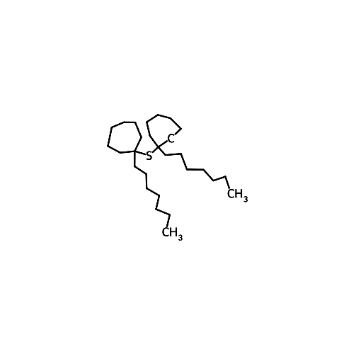 CCCCCCCC1(SC2(CCCCCCC)CCCCCC2)CCCCCC1